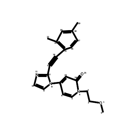 COCCn1ccc(-n2ccnc2C#Cc2ccc(C)cc2C)cc1=O